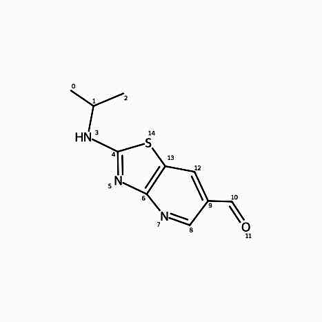 CC(C)Nc1nc2ncc(C=O)cc2s1